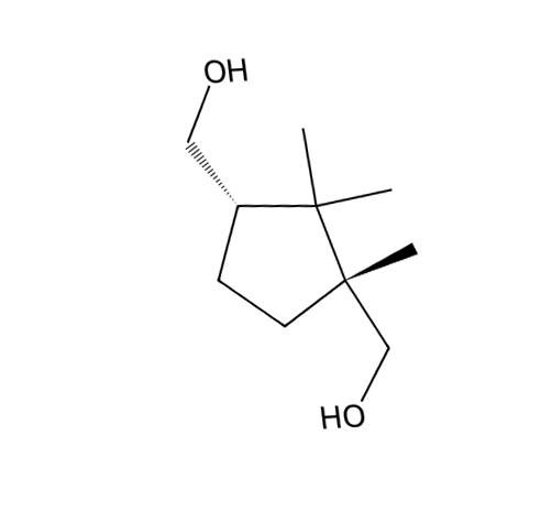 CC1(C)[C@@H](CO)CC[C@@]1(C)CO